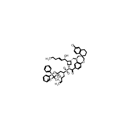 C=CCC[C@@H](C[C@@H](C)O[Si](c1ccccc1)(c1ccccc1)C(C)(C)C)S(=O)(=O)NC(=O)c1ccc2c(c1)N(C[C@@H]1CC[C@H]1[C@@H](O)/C=C/CCC)C[C@@]1(CCCc3cc(Cl)ccc31)CO2